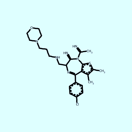 CC(=N)N1C(=N)C(CNCCCN2CCOCC2)N=C(c2ccc(Cl)cc2)c2c1sc(C)c2C